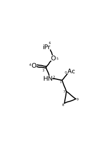 CC(=O)C(NC(=O)OC(C)C)C1CC1